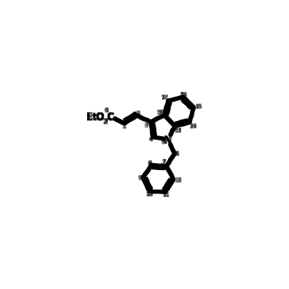 CCOC(=O)/C=C/c1cn(Cc2ccccc2)c2ccccc12